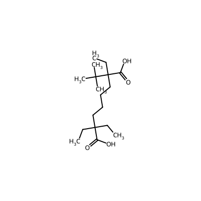 CCC(CC)(CCCCC(CC)(C(=O)O)C(C)(C)C)C(=O)O